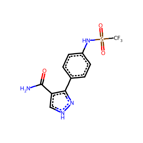 NC(=O)c1c[nH]nc1-c1ccc(NS(=O)(=O)C(F)(F)F)cc1